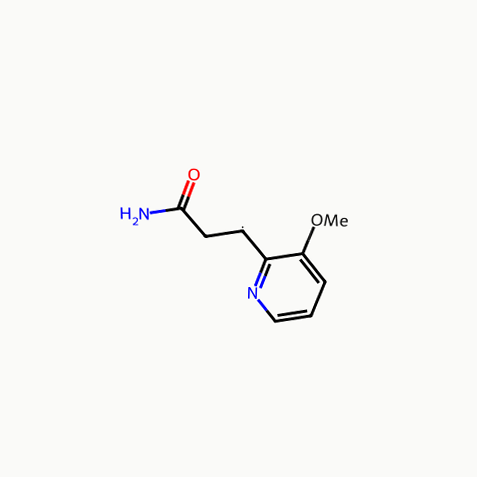 COc1cccnc1[CH]CC(N)=O